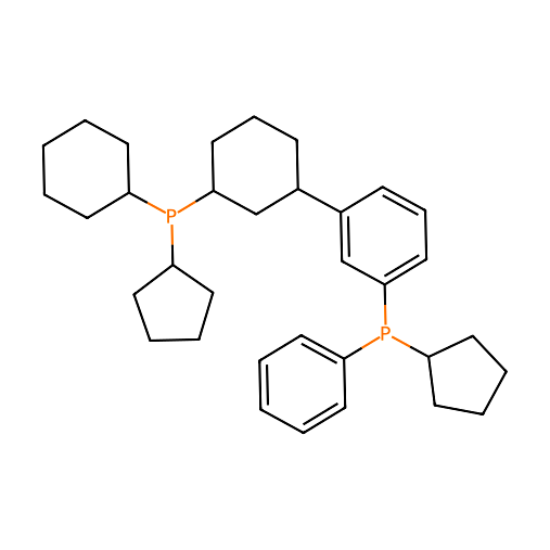 c1ccc(P(c2cccc(C3CCCC(P(C4CCCCC4)C4CCCC4)C3)c2)C2CCCC2)cc1